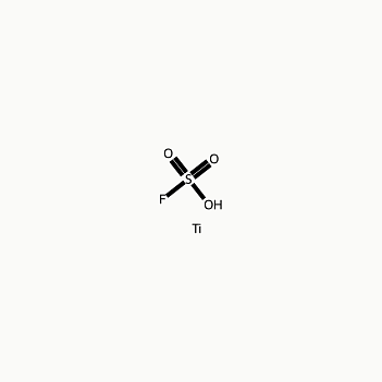 O=S(=O)(O)F.[Ti]